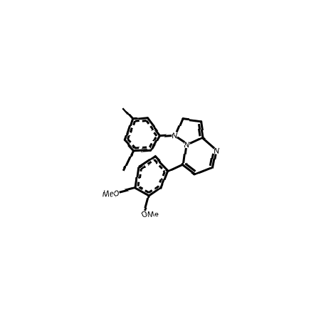 COc1ccc(C2=CC=NC3=CCN(c4cc(C)cc(C)c4)N32)cc1OC